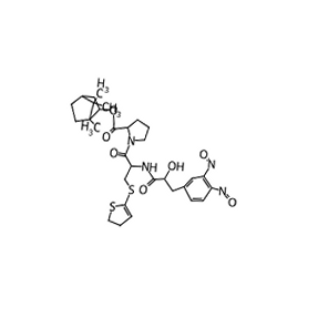 CC1(C)C2CCC1(C)C(OC(=O)C1CCCN1C(=O)C(CSC1=CCCS1)NC(=O)C(O)Cc1ccc(N=O)c(N=O)c1)C2